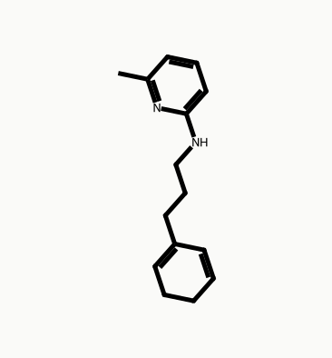 Cc1cccc(NCCCC2=CCCC=C2)n1